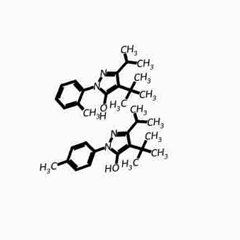 Cc1ccc(-n2nc(C(C)C)c(C(C)(C)C)c2O)cc1.Cc1ccccc1-n1nc(C(C)C)c(C(C)(C)C)c1O